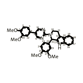 COc1ccc(-c2cnc(N3CCc4c([nH]c5ccccc45)C3c3ccc(OC)c(OC)c3)nc2)cc1OC